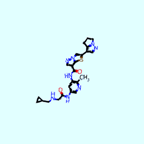 Cc1ncc(NC(=O)CNCC2CC2)cc1NC(=O)c1cnn2cc(-c3cnn4c3CCC4)sc12